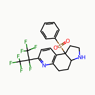 O=S(=O)(c1ccccc1)C12CCNC1CCc1nc(C(F)(C(F)(F)F)C(F)(F)F)ccc12